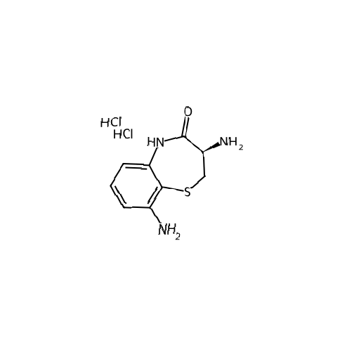 Cl.Cl.Nc1cccc2c1SC[C@H](N)C(=O)N2